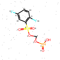 O=[PH](O)OCOS(=O)(=O)c1cc(F)ccc1F